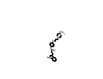 CN1CCN(CCCOc2ccc(SNCCc3c[nH]c4ccccc34)cc2)CC1